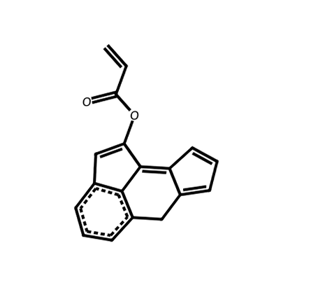 C=CC(=O)OC1=Cc2cccc3c2C1=C1C=CC=C1C3